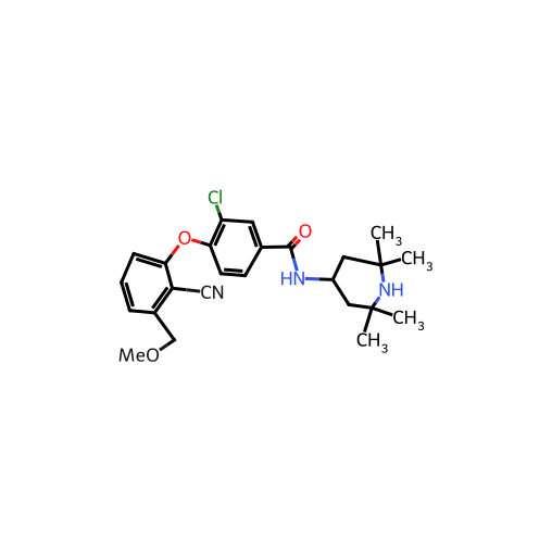 COCc1cccc(Oc2ccc(C(=O)NC3CC(C)(C)NC(C)(C)C3)cc2Cl)c1C#N